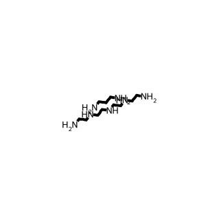 NCCCN.NCCNCCNCCNCCN